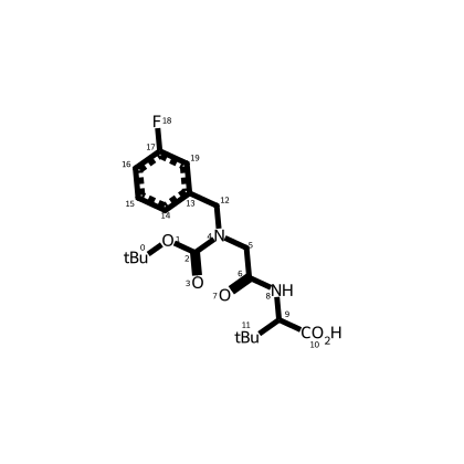 CC(C)(C)OC(=O)N(CC(=O)NC(C(=O)O)C(C)(C)C)Cc1cccc(F)c1